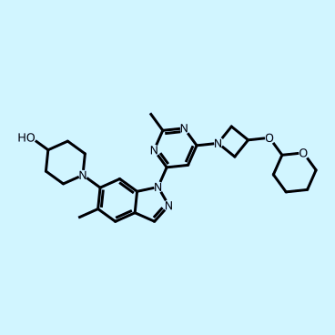 Cc1nc(N2CC(OC3CCCCO3)C2)cc(-n2ncc3cc(C)c(N4CCC(O)CC4)cc32)n1